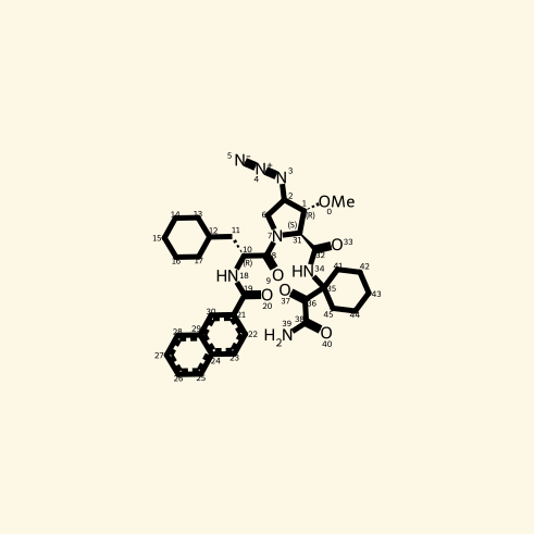 CO[C@H]1C(N=[N+]=[N-])CN(C(=O)[C@@H](CC2CCCCC2)NC(=O)c2ccc3ccccc3c2)[C@@H]1C(=O)NC1(C(=O)C(N)=O)CCCCC1